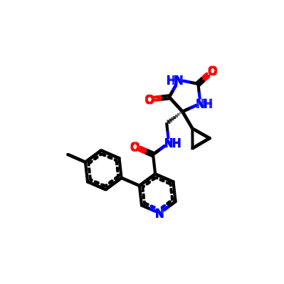 Cc1ccc(-c2cnccc2C(=O)NC[C@@]2(C3CC3)NC(=O)NC2=O)cc1